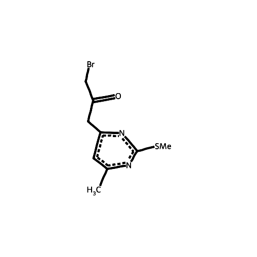 CSc1nc(C)cc(CC(=O)CBr)n1